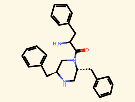 NC(Cc1ccccc1)C(=O)N1C[C@H](Cc2ccccc2)NC[C@H]1Cc1ccccc1